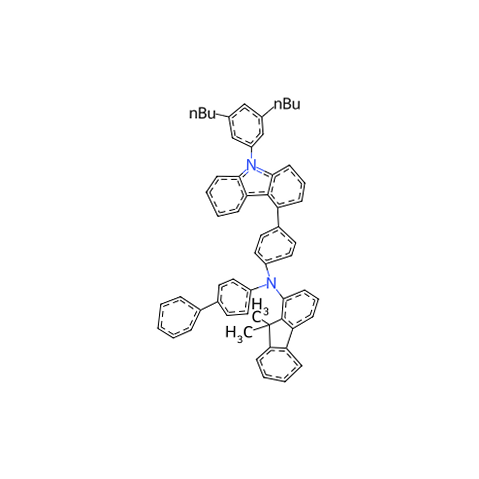 CCCCc1cc(CCCC)cc(-n2c3ccccc3c3c(-c4ccc(N(c5ccc(-c6ccccc6)cc5)c5cccc6c5C(C)(C)c5ccccc5-6)cc4)cccc32)c1